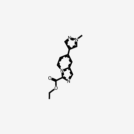 CCOC(=O)c1ncc2cc(-c3cnn(C)c3)ccn12